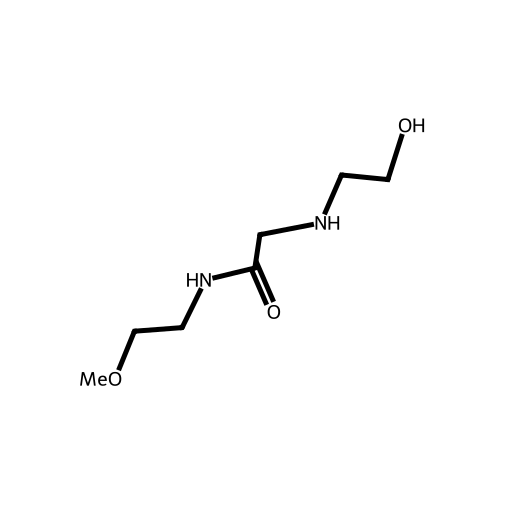 COCCNC(=O)CNCCO